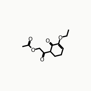 CCOC1=CCCC(C(=O)COC(C)=O)C1=O